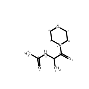 [CH2]C(NC(C)=O)C(=O)N1CCOCC1